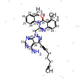 C#CCCCC#Cc1nn(Cc2nc3cccc(C)c3c(=O)n2-c2ccccc2C)c2ncnc(N)c12